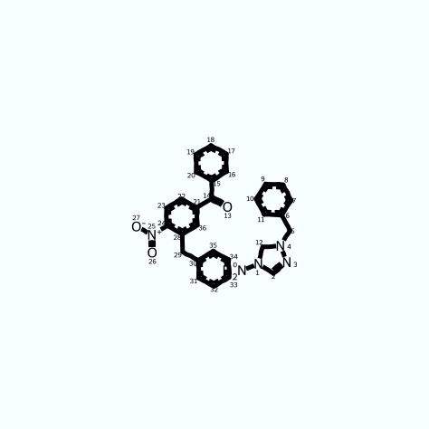 NN1C=NN(Cc2ccccc2)C1.O=C(c1ccccc1)c1ccc([N+](=O)[O-])c(Cc2ccccc2)c1